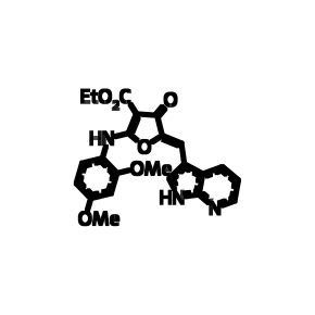 CCOC(=O)C1=C(Nc2ccc(OC)cc2OC)OC(=Cc2c[nH]c3ncccc23)C1=O